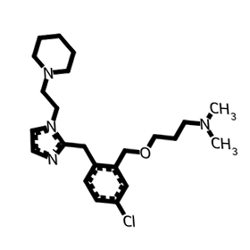 CN(C)CCCOCc1cc(Cl)ccc1Cc1nccn1CCN1CCCCC1